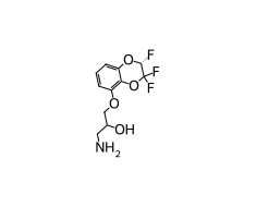 NCC(O)COc1cccc2c1OC(F)(F)[C@@H](F)O2